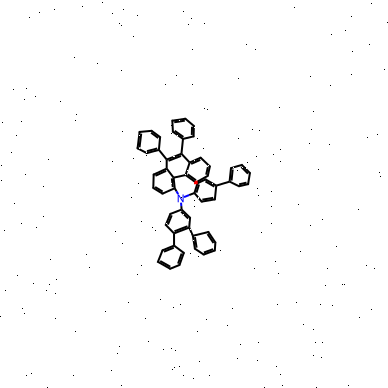 c1ccc(-c2ccc(N(c3ccc(-c4ccccc4)c(-c4ccccc4)c3)c3cccc4c(-c5ccccc5)c(-c5ccccc5)c5ccccc5c34)cc2)cc1